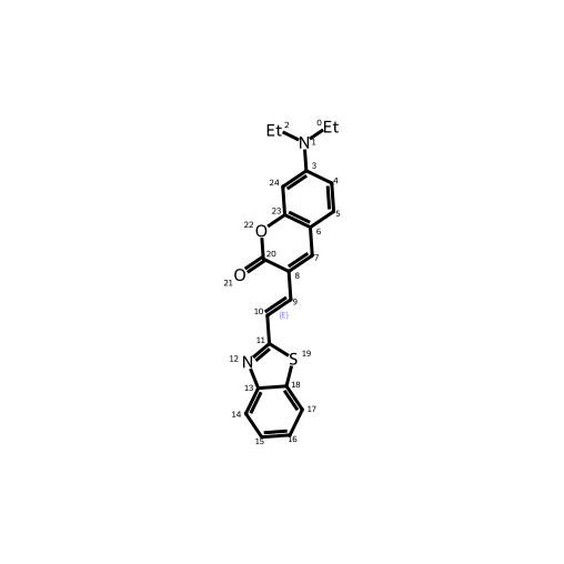 CCN(CC)c1ccc2cc(/C=C/c3nc4ccccc4s3)c(=O)oc2c1